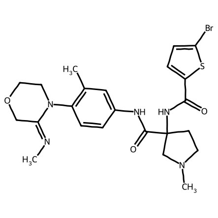 CN=C1COCCN1c1ccc(NC(=O)C2(NC(=O)c3ccc(Br)s3)CCN(C)C2)cc1C